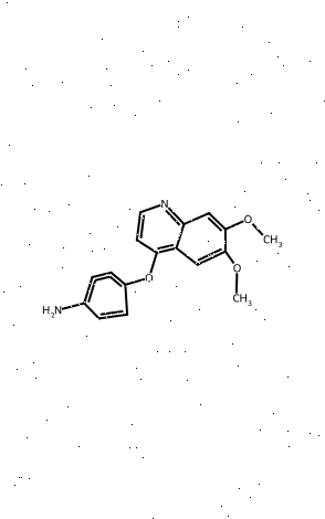 COc1cc2nccc(OC3=C=C=C(N)C=C3)c2cc1OC